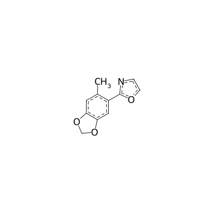 Cc1cc2c(cc1-c1ncco1)OCO2